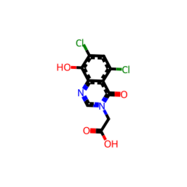 O=C(O)Cn1cnc2c(O)c(Cl)cc(Cl)c2c1=O